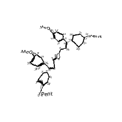 CCCCC[C@H]1CC[C@H](C(=CCOCC=C(c2ccc(OC)cc2)[C@H]2CC[C@H](CCCCC)CC2)c2ccc(OC)cc2)CC1